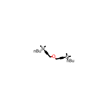 CCCC[Si](C)(C)C#CCOCC#C[Si](C)(C)CCCC